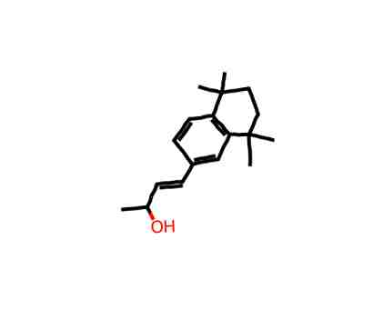 CC(O)C=Cc1ccc2c(c1)C(C)(C)CCC2(C)C